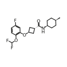 C[C@H]1CC[C@@H](NC(=O)[C@H]2C[C@H](Oc3cc(F)ccc3OC(F)F)C2)CC1